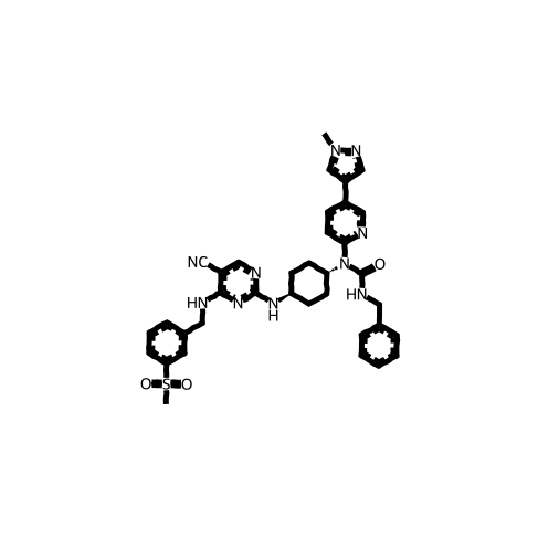 Cn1cc(-c2ccc(N(C(=O)NCc3ccccc3)[C@H]3CC[C@H](Nc4ncc(C#N)c(NCc5cccc(S(C)(=O)=O)c5)n4)CC3)nc2)cn1